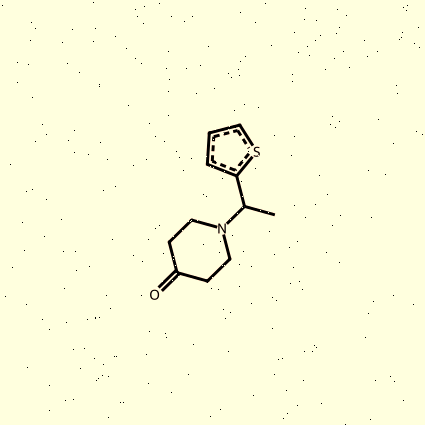 CC(c1cccs1)N1CCC(=O)CC1